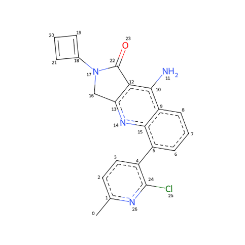 Cc1ccc(-c2cccc3c(N)c4c(nc23)CN(C2=CC=C2)C4=O)c(Cl)n1